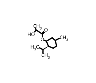 CC1CC[C@@H](C(C)C)C(OC(=O)C(C)O)C1